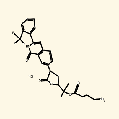 CC(C)(OC(=O)CCCN)C1CN(c2ccc3cc(-c4ccccc4C(F)(F)F)[nH]c(=O)c3c2)C(=O)O1.Cl